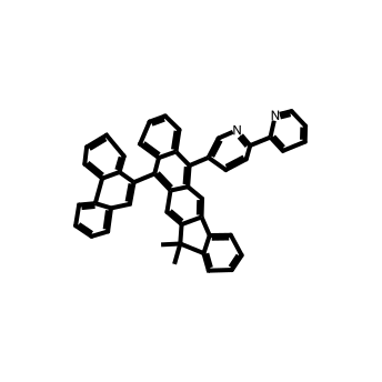 CC1(C)c2ccccc2-c2cc3c(-c4ccc(-c5ccccn5)nc4)c4ccccc4c(-c4cc5ccccc5c5ccccc45)c3cc21